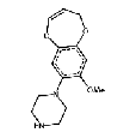 COc1cc2c(cc1N1CCNCC1)OC=CCO2